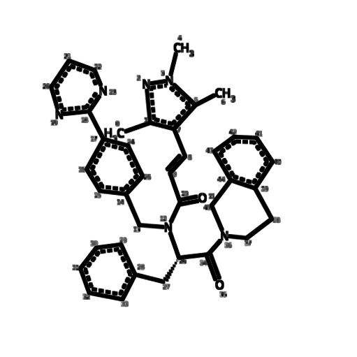 Cc1nn(C)c(C)c1C=CC(=O)N(Cc1ccc(-c2ncccn2)cc1)[C@@H](Cc1ccccc1)C(=O)N1CCc2ccccc2C1